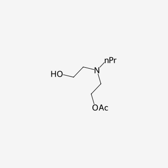 CCCN(CCO)CCOC(C)=O